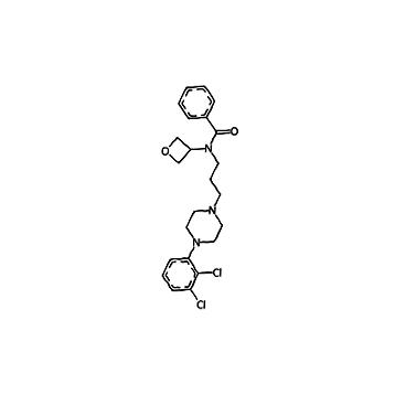 O=C(c1ccccc1)N(CCCN1CCN(c2cccc(Cl)c2Cl)CC1)C1COC1